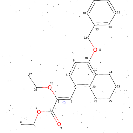 CCOC(=O)/C(=C/c1ccc(OCc2ccccc2)c2c1CCCC2)OCC